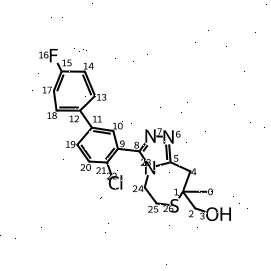 CC1(CO)Cc2nnc(-c3cc(-c4ccc(F)cc4)ccc3Cl)n2CCS1